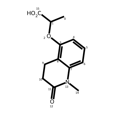 CC(Oc1cccc2c1CCC(=O)N2C)C(=O)O